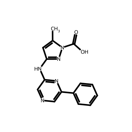 Cc1cc(Nc2cncc(-c3ccccc3)n2)nn1C(=O)O